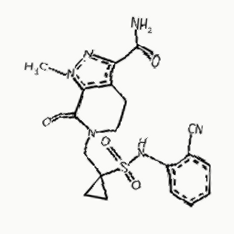 Cn1nc(C(N)=O)c2c1C(=O)N(CC1(S(=O)(=O)Nc3ccccc3C#N)CC1)CC2